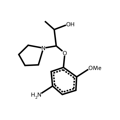 COc1ccc(N)cc1OC(C(C)O)N1CCCC1